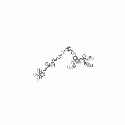 CC(C)(C)OC(=O)Nc1ccc(COCc2cn(CCOCCOCCOCCNC(=O)CCCC[C@@H]3SC[C@@H]4NC(=O)N[C@@H]43)nn2)cc1C(=O)C[C@H](NC(=O)OC(C)(C)C)C(=O)OC(C)(C)C